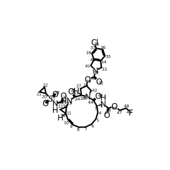 O=C(N[C@H]1CCCCC/C=C\[C@@H]2C[C@@]2(C(=O)NS(=O)(=O)C2CC2)NC(=O)[C@@H]2C[C@@H](OC(=O)N3Cc4ccc(Cl)cc4C3)CN2C1=O)OCCF